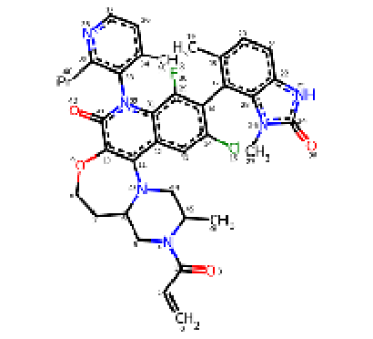 C=CC(=O)N1CC2CCOc3c(c4cc(Cl)c(-c5c(C)ccc6[nH]c(=O)n(C)c56)c(F)c4n(-c4c(C)ccnc4C(C)C)c3=O)N2CC1C